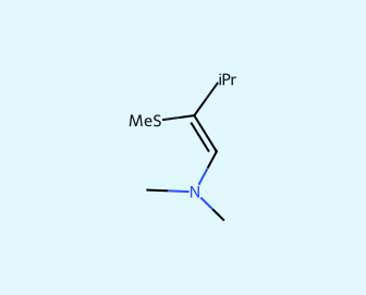 CS/C(=C\N(C)C)C(C)C